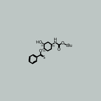 CC(C)(C)OC(=O)N[C@H]1CC[C@H](OC(=S)c2ccccc2)[C@@H](O)C1